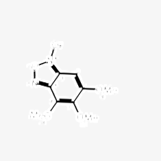 COc1cc2c(no[n+]2[O-])c(OC)c1OC